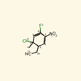 CC1(Cl)C=C(F)C([N+](=O)[O-])=CC1CC#N